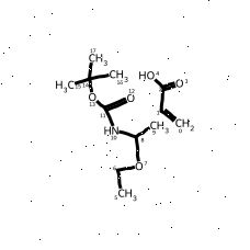 C=CC(=O)O.CCOC(C)NC(=O)OC(C)(C)C